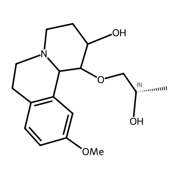 COc1ccc2c(c1)C1C(OC[C@H](C)O)C(O)CCN1CC2